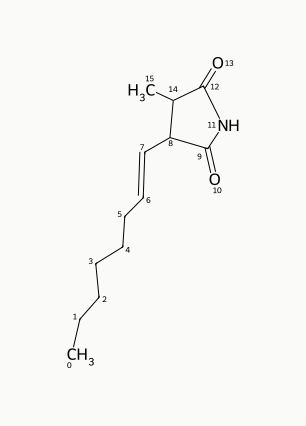 CCCCCCC=CC1C(=O)NC(=O)C1C